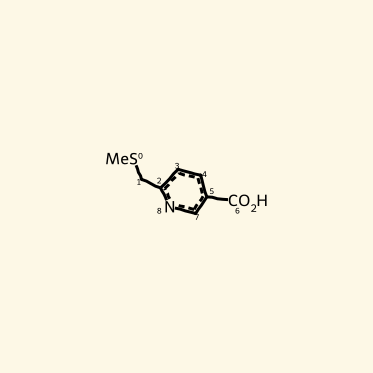 CSCc1ccc(C(=O)O)cn1